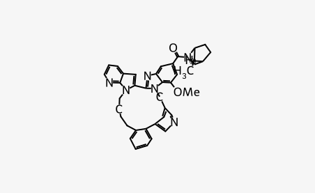 COc1cc(C(=O)N2CC3CCC2[C@@H]3C)cc2nc3n(c12)Cc1cncc(c1)-c1ccccc1CCCCn1c-3cc2cccnc21